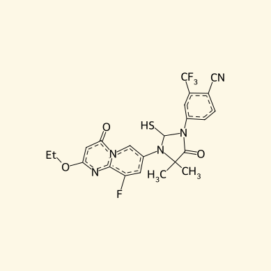 CCOc1cc(=O)n2cc(N3C(S)N(c4ccc(C#N)c(C(F)(F)F)c4)C(=O)C3(C)C)cc(F)c2n1